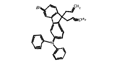 C=CCC1(CC=C)c2ccc(Br)cc2-c2cc(N(c3ccccc3)c3ccccc3)ccc21